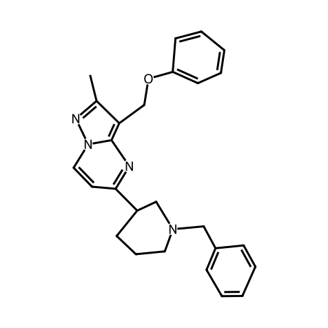 Cc1nn2ccc(C3CCCN(Cc4ccccc4)C3)nc2c1COc1ccccc1